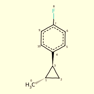 C[C@H]1C[C@@H]1c1ccc(F)cc1